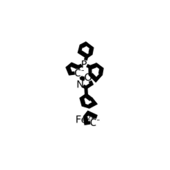 [Fe+2].c1cc[cH-]c1.c1ccc(C2COC([c-]3cccc3P(c3ccccc3)c3ccccc3)=N2)cc1